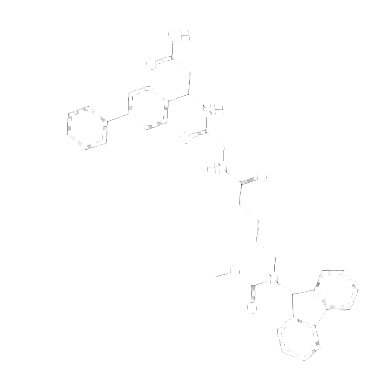 COC(=O)N(CCCCC(=O)NCC(=O)NC(CC(=O)O)c1ccc(-c2ccccc2)cc1)C1c2ccccc2-c2ccccc21